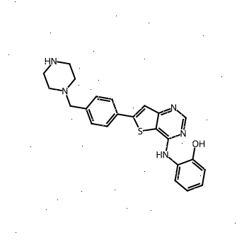 Oc1ccccc1Nc1ncnc2cc(-c3ccc(CN4CCNCC4)cc3)sc12